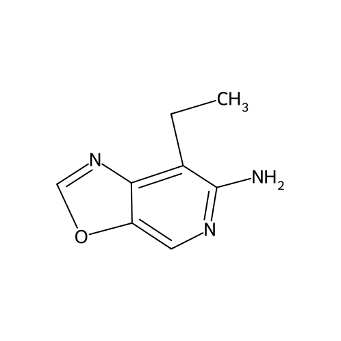 CCc1c(N)ncc2ocnc12